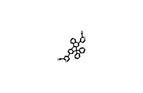 N#Cc1cc(-c2ccc3c(c2)C(c2ccccc2)(c2ccccc2)c2cc(-c4ccnc(C#N)c4)c4ccccc4c2-3)ccn1